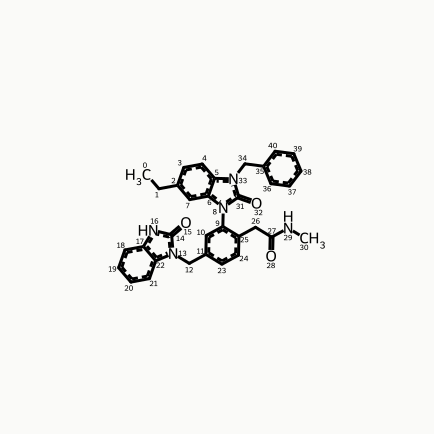 CCc1ccc2c(c1)n(-c1cc(Cn3c(=O)[nH]c4ccccc43)ccc1CC(=O)NC)c(=O)n2Cc1ccccc1